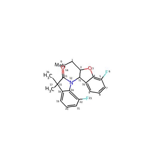 CNCC1Oc2c(F)cccc2C1N1C(=O)C(C)(C)c2cccc(F)c21